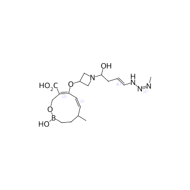 C/N=N\N/C=C/CC(O)N1CC(OC2=C(\C(=O)O)COB(O)CCC(C)/C=C\2)C1